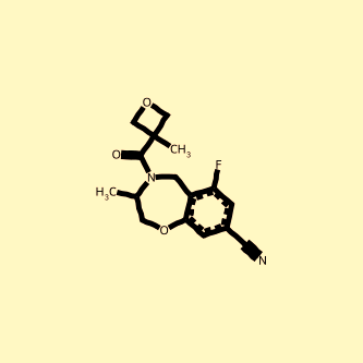 CC1COc2cc(C#N)cc(F)c2CN1C(=O)C1(C)COC1